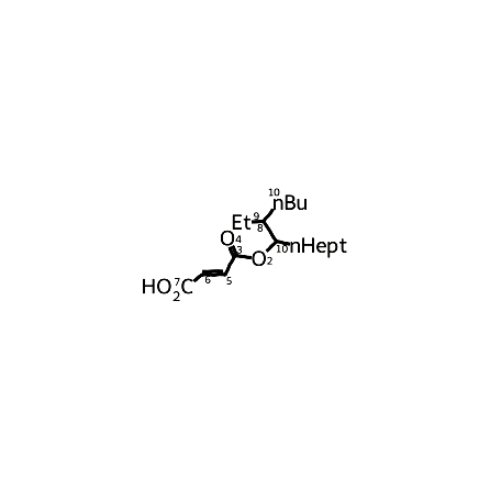 CCCCCCCC(OC(=O)C=CC(=O)O)C(CC)CCCC